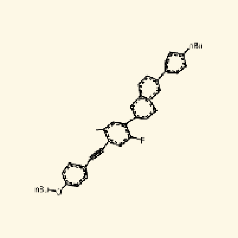 CCCCOc1ccc(C#Cc2cc(F)c(-c3ccc4cc(-c5ccc(CCCC)cc5)ccc4c3)cc2C)cc1